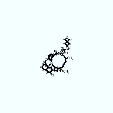 CO[C@H]1/C=C/C[C@H](C)CS(=O)(NC(=O)NC2CC3(COC3)C2)=NC(=O)c2ccc3c(c2)N(C[C@@H]2CC[C@H]21)C[C@@]1(CCCc2cc(Cl)ccc21)CO3